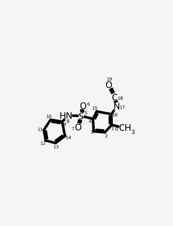 Cc1ccc(S(=O)(=O)Nc2ccccc2)cc1N=C=O